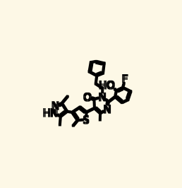 Cc1n[nH]c(C)c1-c1cc(-c2c(C)nc(-c3cccc(F)c3O)n(CCc3ccccc3)c2=O)sc1C